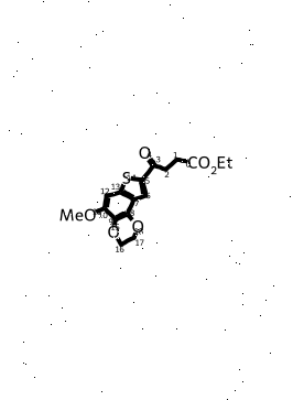 CCOC(=O)CCC(=O)c1cc2c3c(c(OC)cc2s1)OCCO3